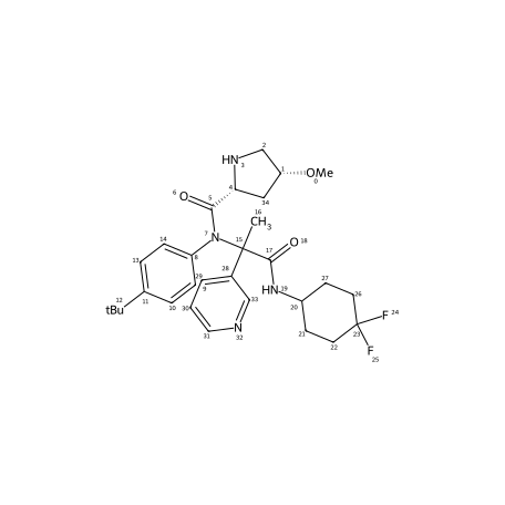 CO[C@H]1CN[C@@H](C(=O)N(c2ccc(C(C)(C)C)cc2)C(C)(C(=O)NC2CCC(F)(F)CC2)c2cccnc2)C1